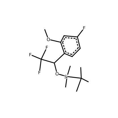 COc1cc(F)ccc1C(O[Si](C)(C)C(C)(C)C)C(F)(F)F